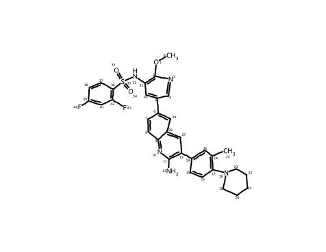 COc1ncc(-c2ccc3nc(N)c(-c4ccc(N5CCCCC5)c(C)c4)cc3c2)cc1NS(=O)(=O)c1ccc(F)cc1F